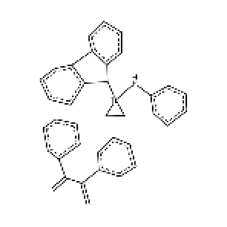 C=C(C(=C)c1ccccc1)c1ccccc1.c1ccc([PH][Ti]2([CH]3c4ccccc4-c4ccccc43)[CH2][CH2]2)cc1